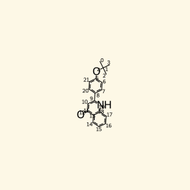 CC(C)(C)Oc1ccc(-c2cc(=O)c3ccccc3[nH]2)cc1